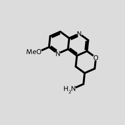 COc1ccc2ncc3c(c2n1)CC(CN)CO3